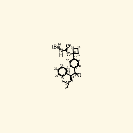 CN(C)C=C(C(=O)c1ccc(C2(OC(=O)NC(C)(C)C)CCC2)cc1)c1ccccc1